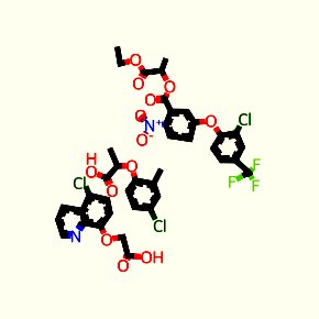 CCOC(=O)C(C)OC(=O)c1cc(Oc2ccc(C(F)(F)F)cc2Cl)ccc1[N+](=O)[O-].Cc1cc(Cl)ccc1OC(C)C(=O)O.O=C(O)COc1ccc(Cl)c2cccnc12